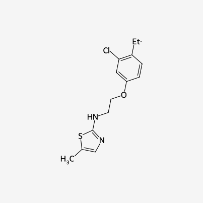 C[CH]c1ccc(OCCNc2ncc(C)s2)cc1Cl